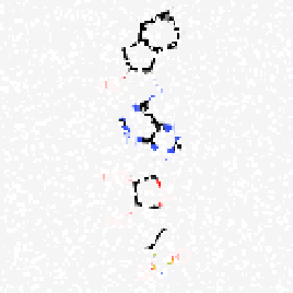 NS(=O)(=O)CC[C@H]1O[C@@H](n2cnc3c(N[C@@H]4c5ccccc5C[C@@H]4O)ncnc32)[C@H](O)[C@H]1O